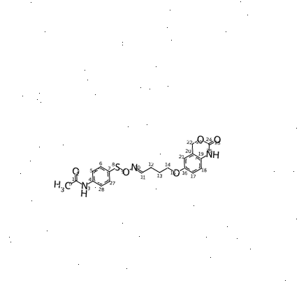 CC(=O)Nc1ccc(SON=CCCCOc2ccc3c(c2)COC(=O)N3)cc1